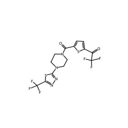 O=C(c1ccc(C(=O)C(F)(F)F)s1)N1CCN(c2nnc(C(F)(F)F)s2)CC1